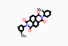 CC(C)(C)c1cccc(N2C(=O)c3ccc4c5c(ccc(c35)C2=O)C(=O)N(c2ccccc2C(C)(C)C)C4=O)c1